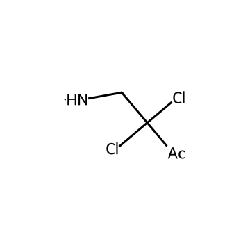 CC(=O)C(Cl)(Cl)C[NH]